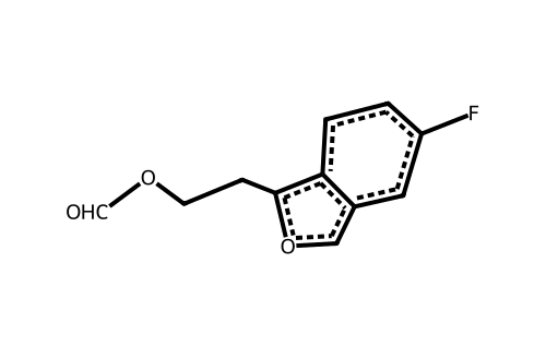 O=COCCc1occ2cc(F)ccc12